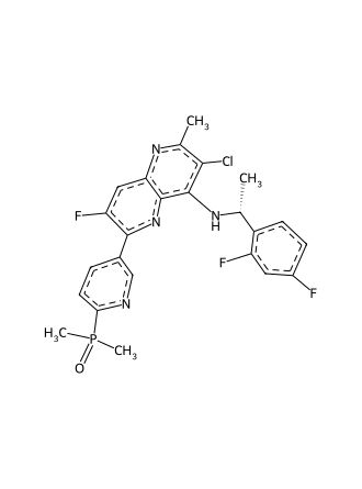 Cc1nc2cc(F)c(-c3ccc(P(C)(C)=O)nc3)nc2c(N[C@H](C)c2ccc(F)cc2F)c1Cl